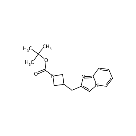 CC(C)(C)OC(=O)N1CC(Cc2cn3ccccc3n2)C1